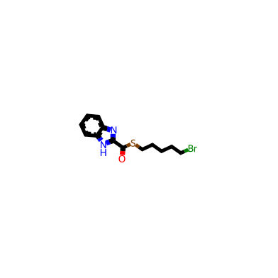 O=C(SCCCCCBr)c1nc2ccccc2[nH]1